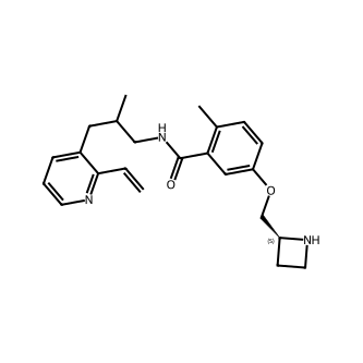 C=Cc1ncccc1CC(C)CNC(=O)c1cc(OC[C@@H]2CCN2)ccc1C